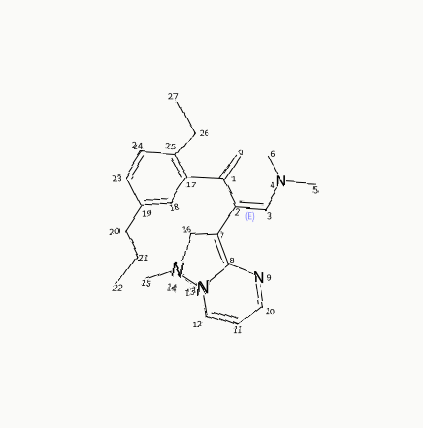 C=C(/C(=C\N(C)C)C1=C2N=CC=CN2N(C)C1)c1cc(CCC)ccc1CC